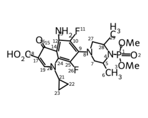 COP(=O)(OC)N1C(C)CN(c2c(F)c(N)c3c(=O)c(C(=O)O)cn(C4CC4)c3c2F)CC1C